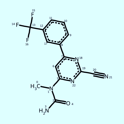 CN(C(N)=O)c1cc(-c2cccc(C(F)(F)F)c2)nc(C#N)n1